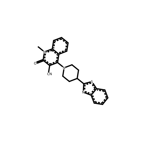 Cn1c(=O)c(C#N)c(N2CCC(c3nc4ccccc4s3)CC2)c2ccccc21